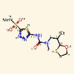 CCC(CN(C)C(=O)Nc1nnc(S(=O)(=O)NC)s1)C1OCCS1